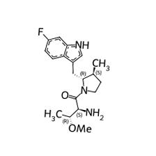 CO[C@H](C)[C@H](N)C(=O)N1CC[C@H](C)[C@H]1Cc1c[nH]c2cc(F)ccc12